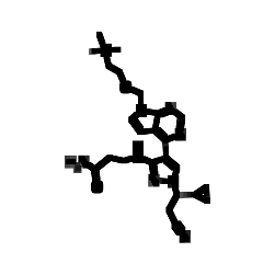 C[Si](C)(C)CCOCn1ccc2c(-c3cn(C(CC#N)C4CC4)nc3NCCC(N)=O)ncnc21